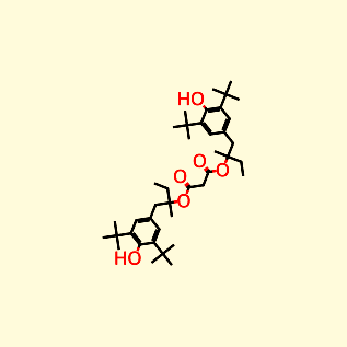 CCC(C)(Cc1cc(C(C)(C)C)c(O)c(C(C)(C)C)c1)OC(=O)CC(=O)OC(C)(CC)Cc1cc(C(C)(C)C)c(O)c(C(C)(C)C)c1